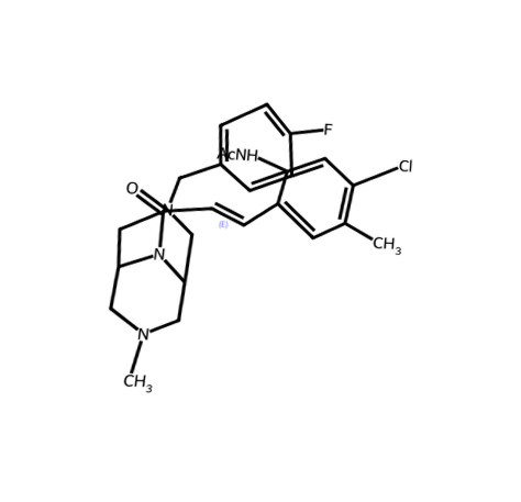 CC(=O)Nc1cc(Cl)c(C)cc1/C=C/C(=O)N1C2CN(C)CC1CN(Cc1ccc(F)cc1)C2